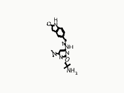 CN(C)c1cc(NN=Cc2ccc3c(c2)CC(=O)N3)nc(OCC(C)(C)N)n1